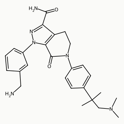 CN(C)CC(C)(C)c1ccc(N2CCc3c(C(N)=O)nn(-c4cccc(CN)c4)c3C2=O)cc1